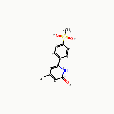 Cc1cc(-c2ccc(S(C)(=O)=O)cc2)[nH]c(=O)c1